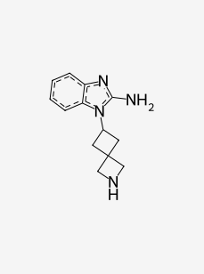 Nc1nc2ccccc2n1C1CC2(CNC2)C1